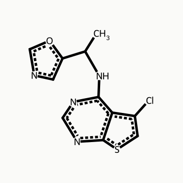 CC(Nc1ncnc2scc(Cl)c12)c1cnco1